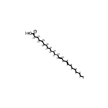 CCCCCCCC=CCC=CCCCCCCCCCCCCC(=O)O